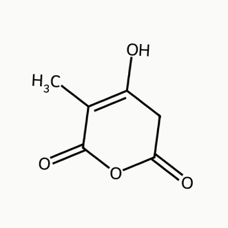 CC1=C(O)CC(=O)OC1=O